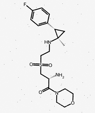 C[C@@]1(NCCS(=O)(=O)C[C@H](N)C(=O)N2CCOCC2)C[C@H]1c1ccc(F)cc1